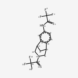 FC(F)(F)C(=S)Nc1ccc2c(c1)C1CC2CN(C(=S)C(F)(F)F)C1